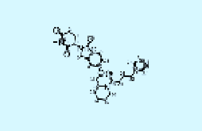 O=C1CCC(N2Cc3cc(OC[C@@H]4CCCCN4C(=O)CCCn4cnnc4)ccc3C2=O)C(=O)N1